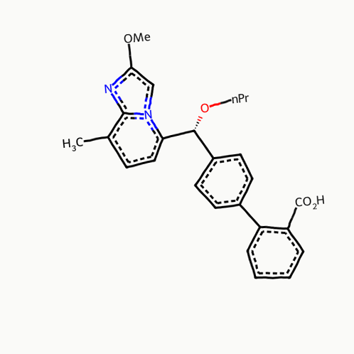 CCCO[C@H](c1ccc(-c2ccccc2C(=O)O)cc1)c1ccc(C)c2nc(OC)cn12